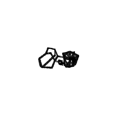 OC12CC3CC(CC(C3)C1[C]13[CH]4[CH]5[CH]6[CH]1[Fe]56431789[CH]3[CH]1[CH]7[CH]8[CH]39)C2